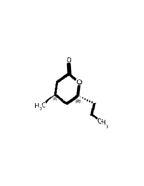 CCC[C@@H]1C[C@@H](C)CC(=O)O1